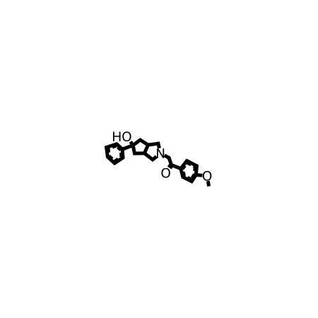 COc1ccc(C(=O)CN2CC3CC(O)(c4ccccc4)CC3C2)cc1